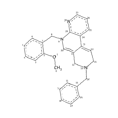 COc1ccccc1CN1C=C2CN(Cc3ccccc3)CC=C2c2cccnc21